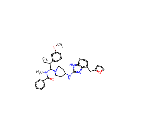 CCC(c1cccc(OC)c1)C(N1CCC(Nc2nc3c(Cc4ccco4)cccc3[nH]2)CC1)N(C)C(=O)c1ccccc1